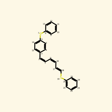 C(/C=C\c1ccc(Sc2ccccc2)cc1)=C/C=C/Sc1ccccc1